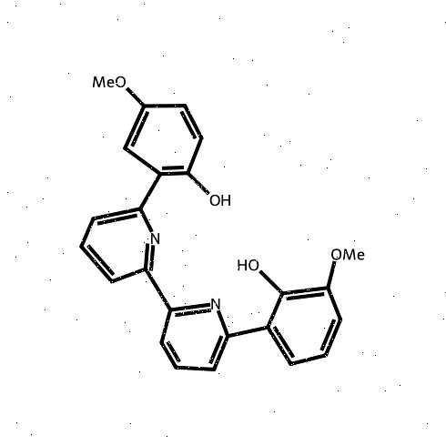 COc1ccc(O)c(-c2cccc(-c3cccc(-c4cccc(OC)c4O)n3)n2)c1